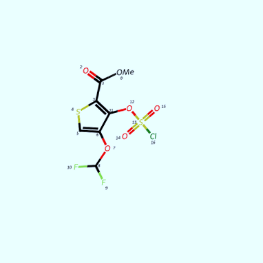 COC(=O)c1scc(OC(F)F)c1OS(=O)(=O)Cl